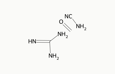 C=O.N#CN.N=C(N)N